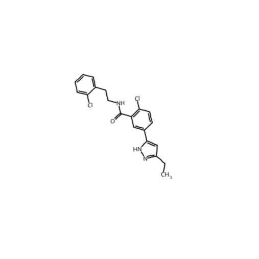 CCc1cc(-c2ccc(Cl)c(C(=O)NCCc3ccccc3Cl)c2)[nH]n1